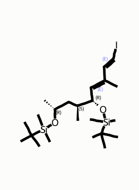 CC(/C=C/I)=C\[C@H](O[Si](C)(C)C(C)(C)C)[C@@H](C)C[C@@H](C)O[Si](C)(C)C(C)(C)C